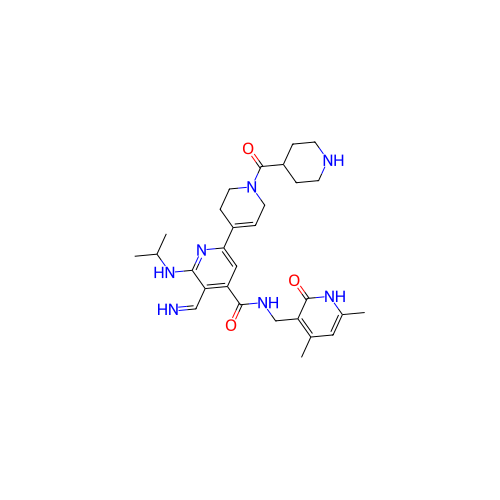 Cc1cc(C)c(CNC(=O)c2cc(C3=CCN(C(=O)C4CCNCC4)CC3)nc(NC(C)C)c2C=N)c(=O)[nH]1